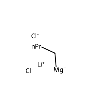 CCC[CH2][Mg+].[Cl-].[Cl-].[Li+]